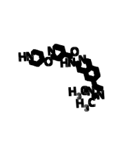 Cc1ncc(-c2ccc3cnc(NC(=O)c4ccnc(OC5CCNCC5)c4)cc3c2)n1C